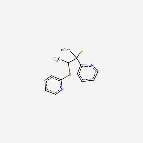 CCCCCCCCC(S)(c1ccccn1)C(Sc1ccccn1)C(=O)O